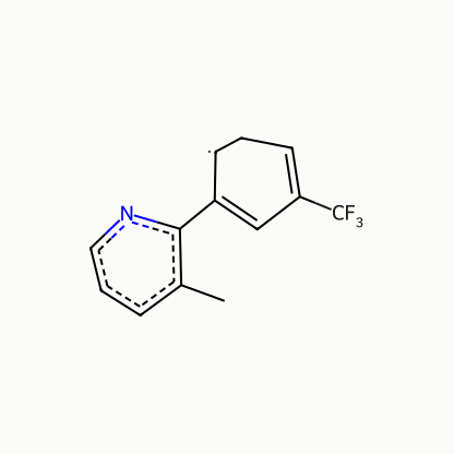 Cc1cccnc1C1=CC(C(F)(F)F)=CC[CH]1